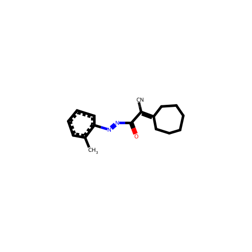 Cc1ccccc1N=NC(=O)C(C#N)=C1CCCCCC1